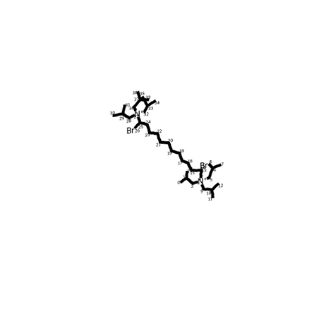 CC(C)C[N+](CC(C)C)(CC(C)C)C(Br)CCCCCCCCCCC(Br)[N+](CC(C)C)(CC(C)C)CC(C)C